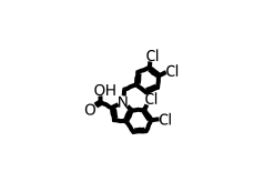 O=C(O)c1cc2ccc(Cl)c(Cl)c2n1Cc1ccc(Cl)c(Cl)c1